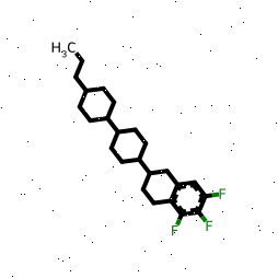 CCCC1CCC(C2CCC(C3CCc4c(cc(F)c(F)c4F)C3)CC2)CC1